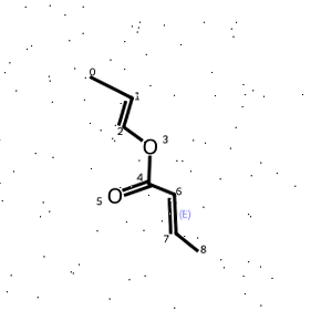 CC=COC(=O)/C=C/C